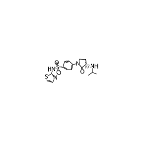 CC(C)N[C@H]1CCN(c2ccc(S(=O)(=O)Nc3nccs3)cc2)C1=O